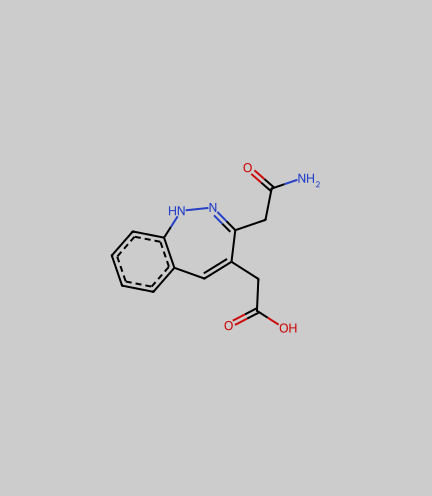 NC(=O)CC1=NNc2ccccc2C=C1CC(=O)O